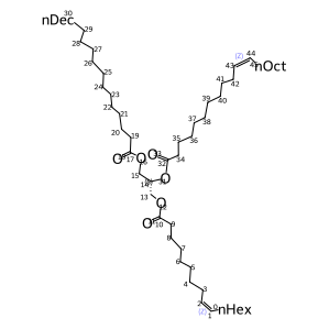 CCCCCC/C=C\CCCCCCCC(=O)OC[C@H](COC(=O)CCCCCCCCCCCCCCCCCCCCC)OC(=O)CCCCCCCCC/C=C\CCCCCCCC